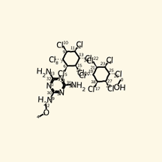 CO.COC.Cl[C@H]1[C@H](Cl)[C@@H](Cl)[C@@H](Cl)[C@H](Cl)[C@H]1Cl.Cl[C@H]1[C@H](Cl)[C@@H](Cl)[C@@H](Cl)[C@H](Cl)[C@H]1Cl.Nc1nc(N)nc(N)n1